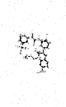 CNc1cc2c(cn1)cc(-c1ccc(F)c(NC(=O)Nc3cncc(C(F)(F)F)c3)c1)c(=O)n2CCO